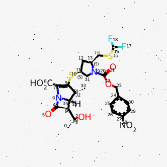 C[C@@H](O)[C@H]1C(=O)N2C(C(=O)O)=C(S[C@H]3C[C@@H](CSC(F)F)N(C(=O)OCc4ccc([N+](=O)[O-])cc4)C3)[C@H](C)[C@H]12